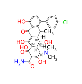 CC1c2c(-c3ccc(Cl)cc3)ccc(O)c2C(=O)C2=C(O)[C@]3(O)C(=O)C(C(N)=O)=C(O)[C@@H](N(C)C)[C@@H]3[C@@H](O)[C@@H]21